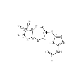 CC(=O)Nc1ncc(CN2CCC3CN(C)S(=O)(=O)C3CC2)s1